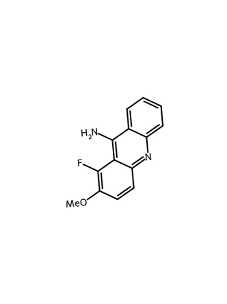 COc1ccc2nc3ccccc3c(N)c2c1F